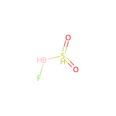 O=[SH](=O)BF